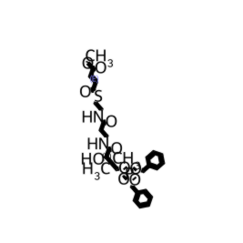 COC(=O)/C=C/C(=O)SCCNC(=O)CCNC(=O)[C@H](O)C(C)(C)COP(=O)(OCc1ccccc1)OCc1ccccc1